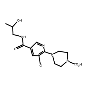 CC(O)CNC(=O)c1cnc(N2CCN(C(=O)O)CC2)c(Cl)c1